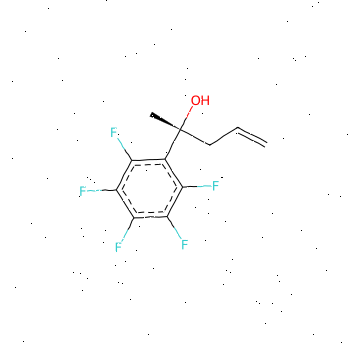 C=CC[C@@](C)(O)c1c(F)c(F)c(F)c(F)c1F